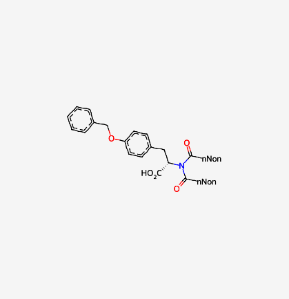 CCCCCCCCCC(=O)N(C(=O)CCCCCCCCC)[C@@H](Cc1ccc(OCc2ccccc2)cc1)C(=O)O